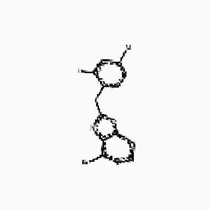 Fc1cc(Cl)ccc1Cc1nc2c(Br)cccc2s1